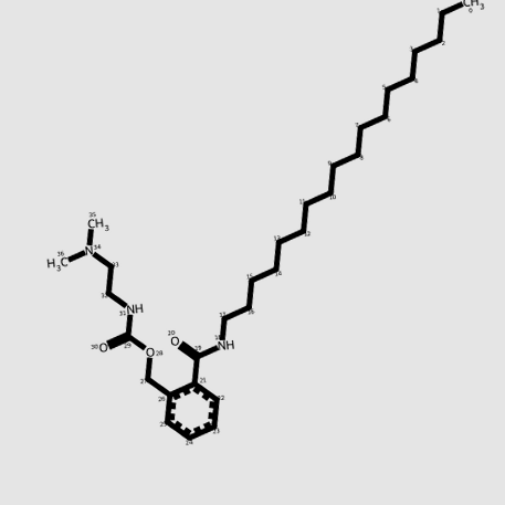 CCCCCCCCCCCCCCCCCCNC(=O)c1ccccc1COC(=O)NCCN(C)C